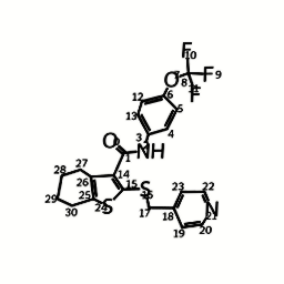 O=C(Nc1ccc(OC(F)(F)F)cc1)c1c(SCc2ccncc2)sc2c1CCCC2